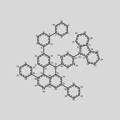 c1ccc(-c2cccc(-c3ccc4c(c3)B(c3cnc(-n5c6ccccc6c6ccccc65)cn3)c3cc(-c5ccccc5)cc5ncc(-c6ccccc6)c-4c35)c2)cc1